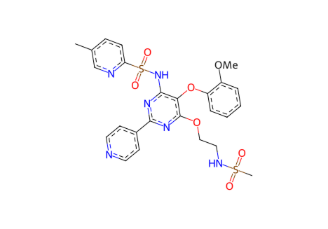 COc1ccccc1Oc1c(NS(=O)(=O)c2ccc(C)cn2)nc(-c2ccncc2)nc1OCCNS(C)(=O)=O